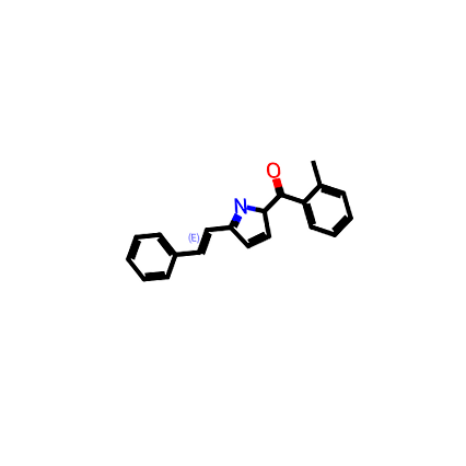 Cc1ccccc1C(=O)C1C=CC(/C=C/c2ccccc2)=N1